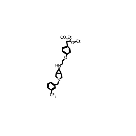 CCOC(=O)[C@H](Cc1ccc(OCCNC2C3CN(Cc4cccc(C(F)(F)F)c4)CC32)cc1)OCC